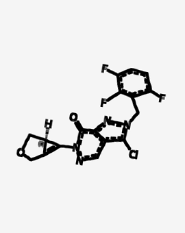 O=c1c2nn(Cc3c(F)ccc(F)c3F)c(Cl)c2cnn1C1=C2COC[C@H]21